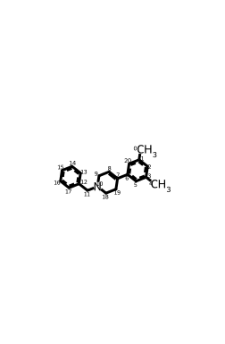 Cc1cc(C)cc(C2=CCN(Cc3ccccc3)CC2)c1